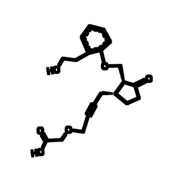 O=C(O)COCC#CC[C@H]1CCC(=O)[C@@H]1COc1ccccc1CCO